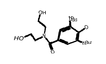 CC(C)(C)c1cc(C(=O)N(CCO)CCO)cc(C(C)(C)C)c1[O]